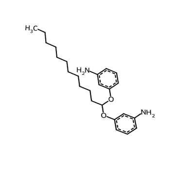 CCCCCCCCCCCC(Oc1cccc(N)c1)Oc1cccc(N)c1